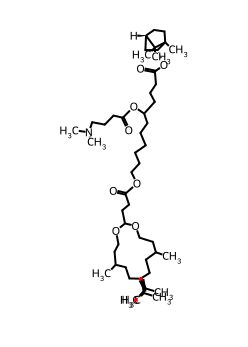 CC(C)=CCCC(C)CCOC(CCC(=O)OCCCCCCC(CCCC(=O)O[C@@H]1C[C@@H]2CCC1(C)C2(C)C)OC(=O)CCCN(C)C)OCCC(C)CCC=C(C)C